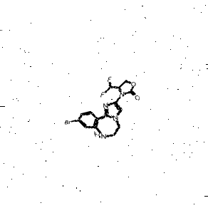 O=C1OCC(C(F)F)N1c1cn2c(n1)-c1ccc(Br)cc1NCC2